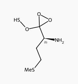 CSCC[C@H](N)C1(OS)OO1